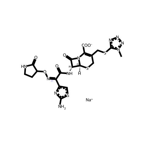 Cn1nnnc1SCC1=C(C(=O)[O-])N2C(=O)[C@@H](NC(=O)/C(=N\OC3CCNC3=O)c3csc(N)n3)[C@@H]2SC1.[Na+]